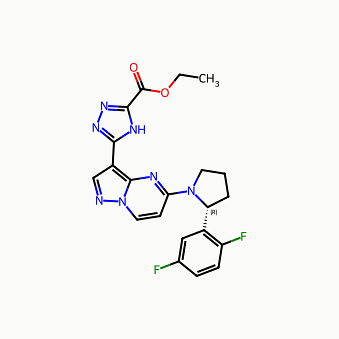 CCOC(=O)c1nnc(-c2cnn3ccc(N4CCC[C@@H]4c4cc(F)ccc4F)nc23)[nH]1